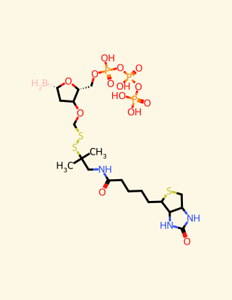 B[C@H]1CC(OCSSC(C)(C)CNC(=O)CCCCC2SCC3NC(=O)NC32)[C@@H](COP(=O)(O)OP(=O)(O)OP(=O)(O)O)O1